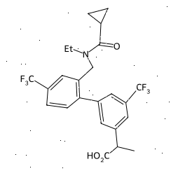 CCN(Cc1cc(C(F)(F)F)ccc1-c1cc(C(C)C(=O)O)cc(C(F)(F)F)c1)C(=O)C1CC1